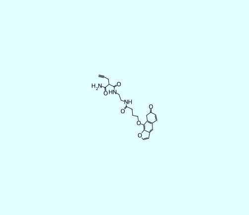 C#CCC(C(N)=O)C(=O)NCCNC(=O)CCCOc1c2c(cc3ccoc13)C=CC(=O)C2